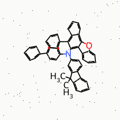 CC1(C)c2ccccc2-c2ccc(N(c3ccc(-c4ccccc4)cc3)c3c(-c4ccccc4)c4ccccc4c4oc5ccccc5c34)cc21